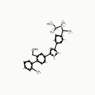 COCc1cc(-c2nc(-c3ccc(C(C)N(C)[C@@H](C)C(=O)O)cc3)no2)ccc1-c1ccccc1C